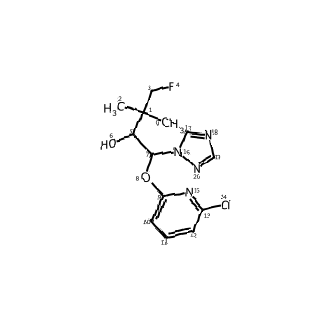 CC(C)(CF)C(O)C(Oc1cccc(Cl)n1)n1cncn1